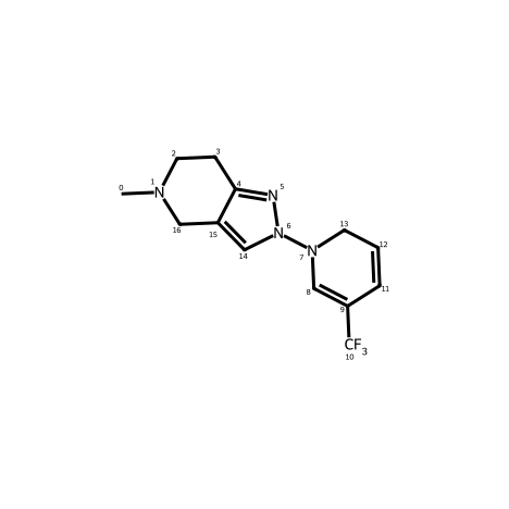 CN1CCc2nn(N3C=C(C(F)(F)F)C=CC3)cc2C1